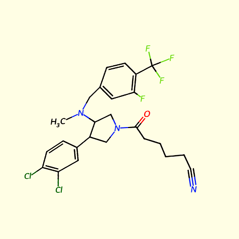 CN(Cc1ccc(C(F)(F)F)c(F)c1)C1CN(C(=O)CCCCC#N)CC1c1ccc(Cl)c(Cl)c1